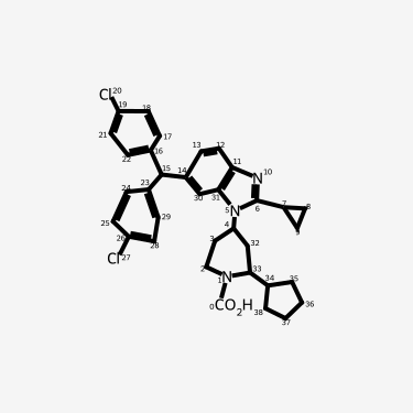 O=C(O)N1CCC(n2c(C3CC3)nc3ccc(C(c4ccc(Cl)cc4)c4ccc(Cl)cc4)cc32)CC1C1CCCC1